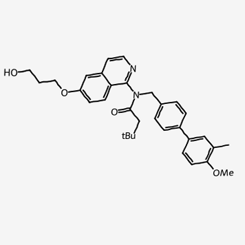 COc1ccc(-c2ccc(CN(C(=O)CC(C)(C)C)c3nccc4cc(OCCCO)ccc34)cc2)cc1C